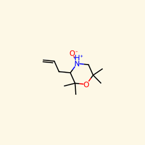 C=CCC1[NH+]([O-])CC(C)(C)OC1(C)C